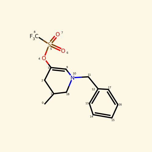 CC1CC(OS(=O)(=O)C(F)(F)F)=CN(Cc2ccccc2)C1